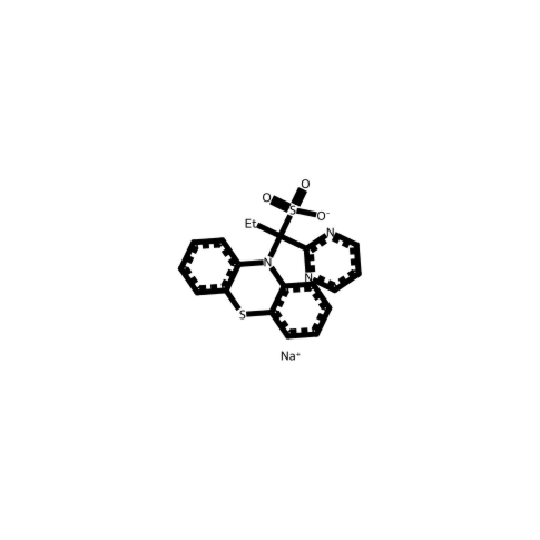 CCC(c1ncccn1)(N1c2ccccc2Sc2ccccc21)S(=O)(=O)[O-].[Na+]